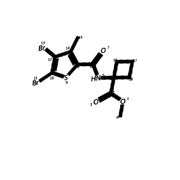 COC(=O)C1(NC(=O)c2sc(Br)c(Br)c2C)CCC1